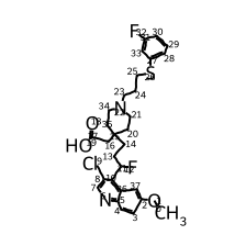 COc1ccc2ncc(Cl)c(C(F)CCC3(CC(=O)O)CCN(CCCSc4cccc(F)c4)CC3)c2c1